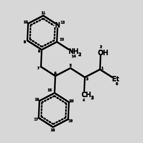 CCC(O)C(C)CC(Cc1cccnc1N)c1ccccc1